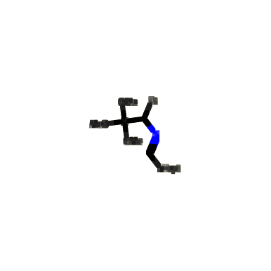 CCCCCCCC=NC(CC)[Si](OC)(OC)OC